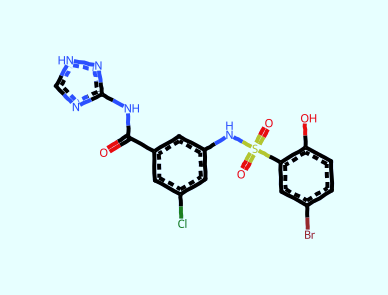 O=C(Nc1nc[nH]n1)c1cc(Cl)cc(NS(=O)(=O)c2cc(Br)ccc2O)c1